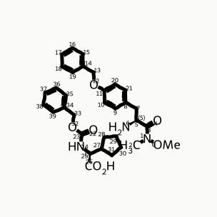 CON(C)C(=O)[C@@H](N)Cc1ccc(OCc2ccccc2)cc1.O=C(N[C@H](C(=O)O)C1CCCC1)OCc1ccccc1